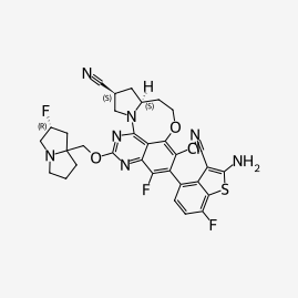 N#Cc1c(N)sc2c(F)ccc(-c3c(Cl)c4c5c(nc(OCC67CCCN6C[C@H](F)C7)nc5c3F)N3C[C@@H](C#N)C[C@H]3CCO4)c12